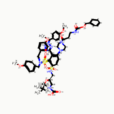 COc1ccc(CN(Cc2ccc(OC)cc2)S(=O)(=O)c2c(S(=O)(=O)NC[C@@H](CNC(=O)O)O[Si](C)(C)C(C)(C)C)ccc(N3CCN(C(=O)CCNC(=O)OCc4ccccc4)CC3)c2-c2nnn(Cc3ccc(OC)cc3)n2)cc1